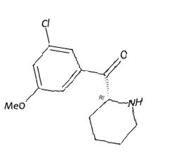 COc1cc(Cl)cc(C(=O)[C@H]2CCCCN2)c1